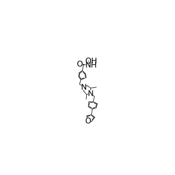 CC1CN(Cc2ccc(C(=O)NO)cc2)CC(C)N1Cc1ccc(-c2ccoc2)cc1